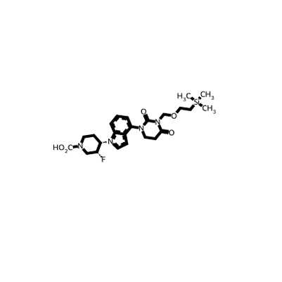 C[Si](C)(C)CCOCN1C(=O)CCN(c2cccc3c2ccn3[C@H]2CCN(C(=O)O)C[C@H]2F)C1=O